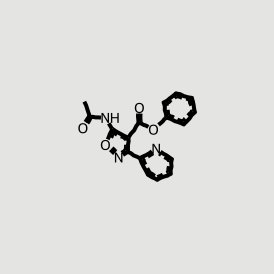 CC(=O)Nc1onc(-c2ccccn2)c1C(=O)Oc1ccccc1